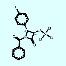 CC[Si](CC)(CC)O[C@H]1C(=O)N(C(=O)c2ccccc2)[C@H]1c1ccc(F)cc1